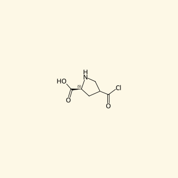 O=C(Cl)C1CN[C@H](C(=O)O)C1